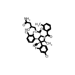 Cc1cccc(C(=O)N2[C@@H](C)[C@](C#N)(c3ccc(Cl)cc3F)[C@@H](c3cccc(Cl)c3F)[C@@H]2C(=O)OCC(O)CC(N)=O)c1